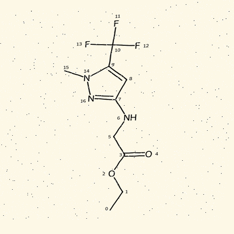 CCOC(=O)CNc1cc(C(F)(F)F)n(C)n1